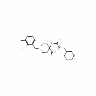 CCCCN1C(=O)[C@H](CC2CCCCC2)NC(=O)C12CCN(Cc1cccc(C)c1O)CC2